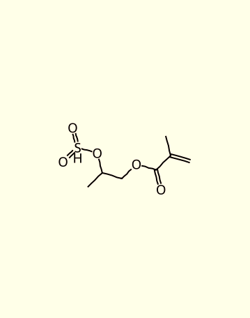 C=C(C)C(=O)OCC(C)O[SH](=O)=O